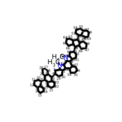 Cn1c2cc(-c3c4c(c(-c5cccc6ccccc56)c5ccccc35)C=CCC4)ccc2c2c3ccccc3c3c4ccc(-c5c6ccccc6c(-c6cccc7ccccc67)c6ccccc56)cc4n(C)c3c21